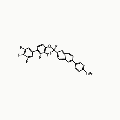 CCCc1ccc(-c2ccc3cc(C(F)(F)Oc4ccc(-c5cc(F)c(F)c(F)c5)c(F)c4F)ccc3c2)cc1